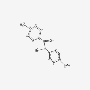 CSc1ccc(C(Br)C(=O)c2ccc(C)cc2)cc1